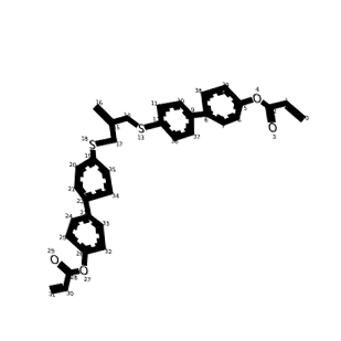 C=CC(=O)Oc1ccc(-c2ccc(SCC(=C)CSc3ccc(-c4ccc(OC(=O)C=C)cc4)cc3)cc2)cc1